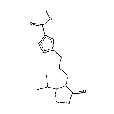 COC(=O)c1ccc(CCCN2C(=O)CCC2C(C)C)s1